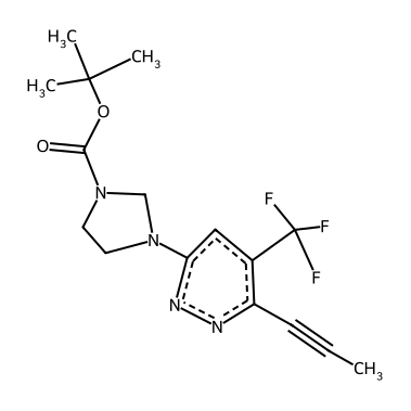 CC#Cc1nnc(N2CCN(C(=O)OC(C)(C)C)C2)cc1C(F)(F)F